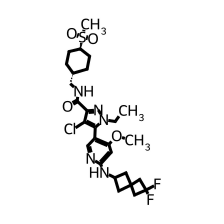 CCn1nc(C(=O)NC[C@H]2CC[C@H](S(C)(=O)=O)CC2)c(Cl)c1-c1cnc(NC2CC3(C2)CC(F)(F)C3)cc1OC